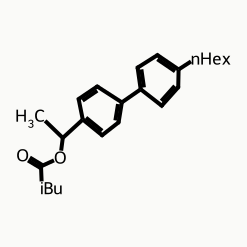 CCCCCCc1ccc(-c2ccc(C(C)OC(=O)C(C)CC)cc2)cc1